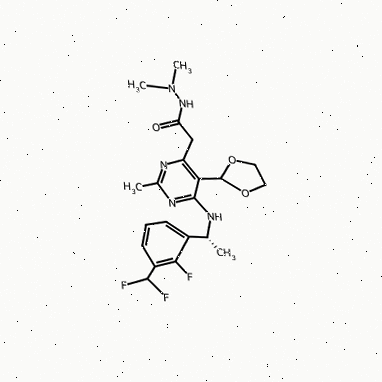 Cc1nc(CC(=O)NN(C)C)c(C2OCCO2)c(N[C@H](C)c2cccc(C(F)F)c2F)n1